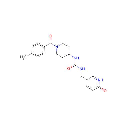 Cc1ccc(C(=O)N2CCC(NC(=O)NCc3ccc(=O)[nH]c3)CC2)cc1